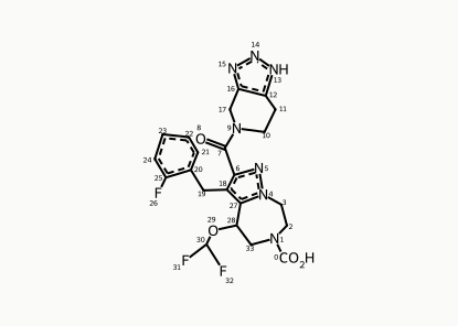 O=C(O)N1CCn2nc(C(=O)N3CCc4[nH]nnc4C3)c(Cc3ccccc3F)c2C(OC(F)F)C1